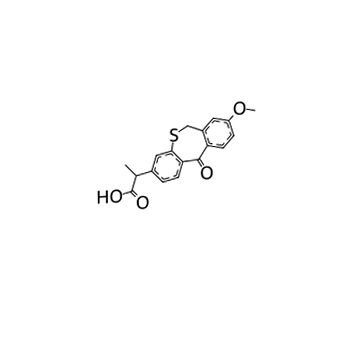 COc1ccc2c(c1)CSc1cc(C(C)C(=O)O)ccc1C2=O